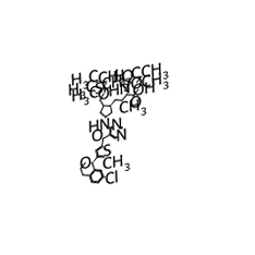 Cc1sc(C(=O)c2cncnc2N[C@H]2CC(CO[Si](C)(C)C(C)(C)C)[C@@H](CC(C)[C@H](NC(=O)OC(C)(C)C)C(=O)O)C2)cc1[C@@H]1OCCc2ccc(Cl)cc21